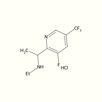 CCNC(C)c1ncc(C(F)(F)F)cc1F.Cl